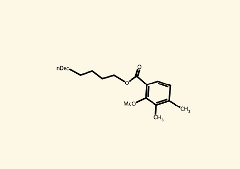 CCCCCCCCCCCCCCOC(=O)c1ccc(C)c(C)c1OC